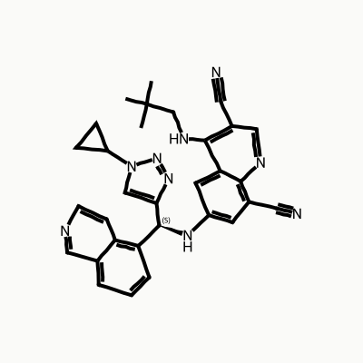 CC(C)(C)CNc1c(C#N)cnc2c(C#N)cc(N[C@H](c3cn(C4CC4)nn3)c3cccc4cnccc34)cc12